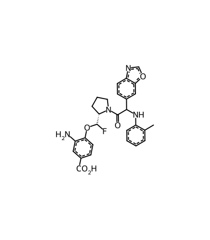 Cc1ccccc1NC(C(=O)N1CCC[C@H]1C(F)Oc1ccc(C(=O)O)cc1N)c1ccc2ncoc2c1